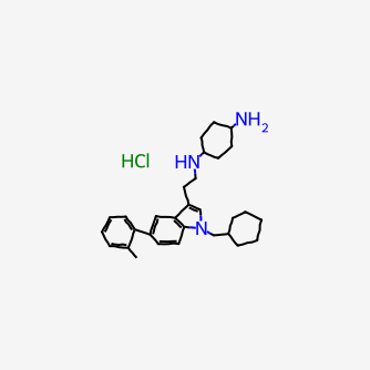 Cc1ccccc1-c1ccc2c(c1)c(CCNC1CCC(N)CC1)cn2CC1CCCCC1.Cl